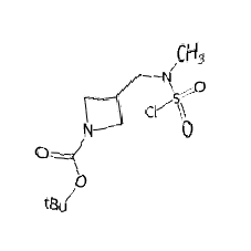 CN(CC1CN(C(=O)OC(C)(C)C)C1)S(=O)(=O)Cl